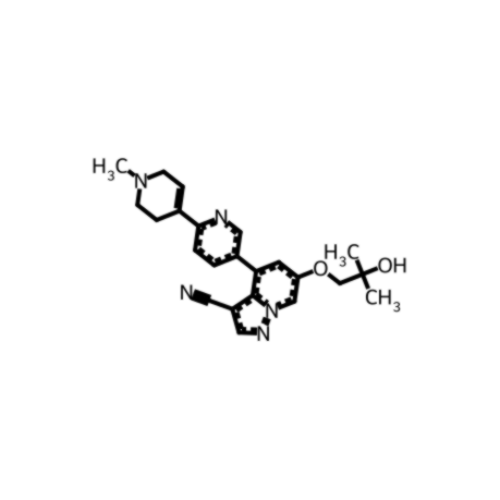 CN1CC=C(c2ccc(-c3cc(OCC(C)(C)O)cn4ncc(C#N)c34)cn2)CC1